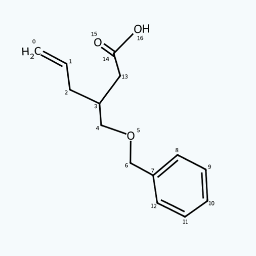 C=CCC(COCc1ccccc1)CC(=O)O